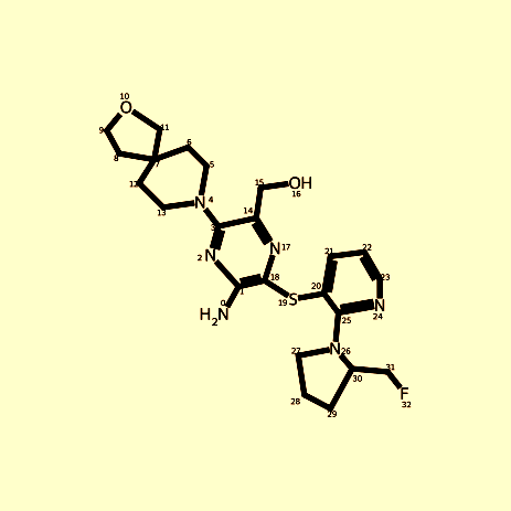 Nc1nc(N2CCC3(CCOC3)CC2)c(CO)nc1Sc1cccnc1N1CCCC1CF